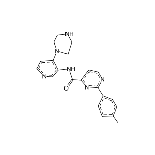 Cc1ccc(-c2nccc(C(=O)Nc3cnccc3N3CCNCC3)n2)cc1